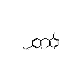 COc1ccc(Cc2c(C)ncnc2Cl)cc1